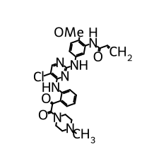 C=CC(=O)Nc1cc(Nc2ncc(Cl)c(Nc3ccccc3C(=O)C(=O)N3CCN(C)CC3)n2)ccc1OC